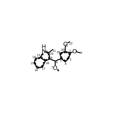 COc1ccc(C(OC)c2c(C)[nH]c3ccccc23)cc1OC